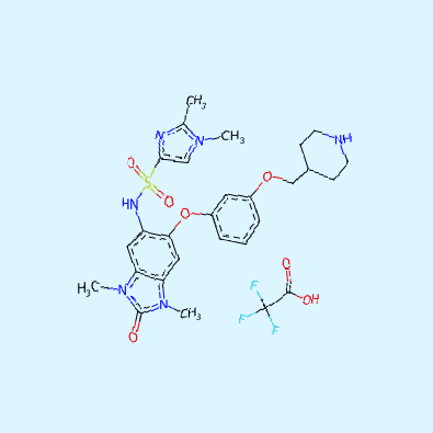 Cc1nc(S(=O)(=O)Nc2cc3c(cc2Oc2cccc(OCC4CCNCC4)c2)n(C)c(=O)n3C)cn1C.O=C(O)C(F)(F)F